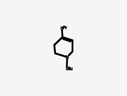 CCCC1=CCN(C(C)(C)C)CC1